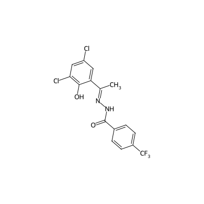 C/C(=N\NC(=O)c1ccc(C(F)(F)F)cc1)c1cc(Cl)cc(Cl)c1O